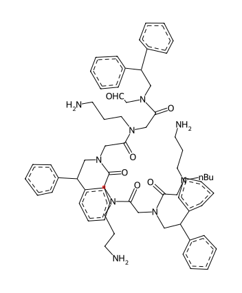 CCCCN(CCCN)CC(=O)N(CC(=O)N(CCCN)CC(=O)N(CC(=O)N(CCCN)CC(=O)N(CC=O)CC(c1ccccc1)c1ccccc1)CC(c1ccccc1)c1ccccc1)CC(c1ccccc1)c1ccccc1